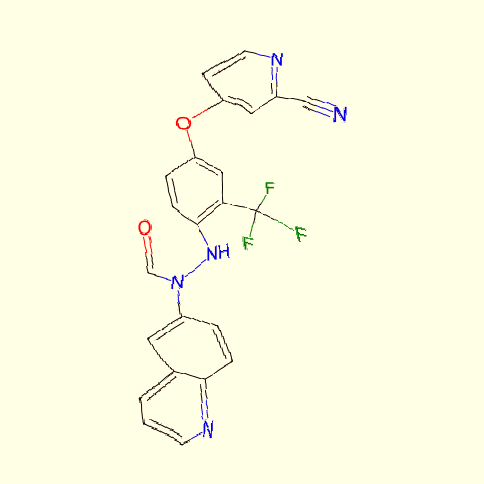 N#Cc1cc(Oc2ccc(NN(C=O)c3ccc4ncccc4c3)c(C(F)(F)F)c2)ccn1